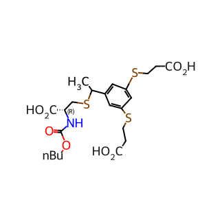 CCCCOC(=O)N[C@@H](CSC(C)c1cc(SCCC(=O)O)cc(SCCC(=O)O)c1)C(=O)O